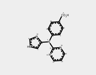 O=C(O)c1ccc(N(c2c[nH]cn2)c2ncccn2)cc1